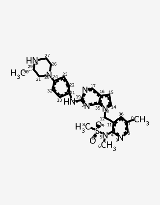 Cc1cnc(N(C)S(C)(=O)=O)c(Cn2ccc3cnc(Nc4ccc(N5CCN[C@@H](C)C5)cc4)nc32)c1